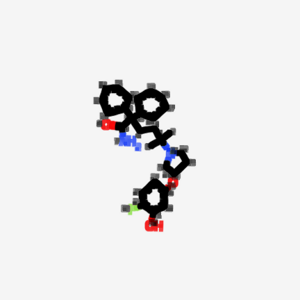 CC(C)(CCC(C(N)=O)(c1ccccc1)c1ccccc1)N1CC[C@H](Oc2ccc(F)c(O)c2)C1